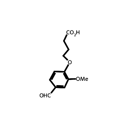 COc1cc(C=O)ccc1OCCCC(=O)O